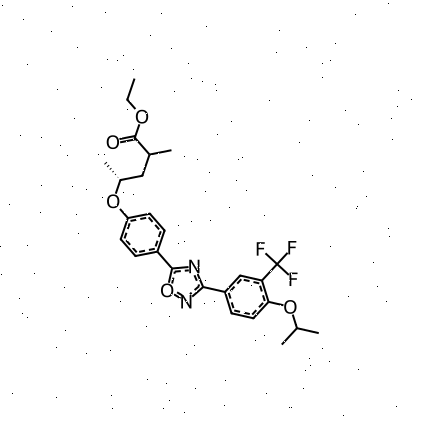 CCOC(=O)C(C)C[C@@H](C)Oc1ccc(-c2nc(-c3ccc(OC(C)C)c(C(F)(F)F)c3)no2)cc1